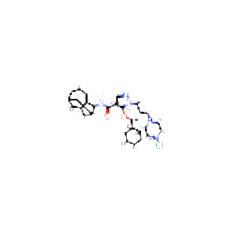 O=C(NC1C2CC3CCCC1C(C3)C2)c1cnn(CCCN2CCN(Cl)CC2)c1OCC1CCCCC1